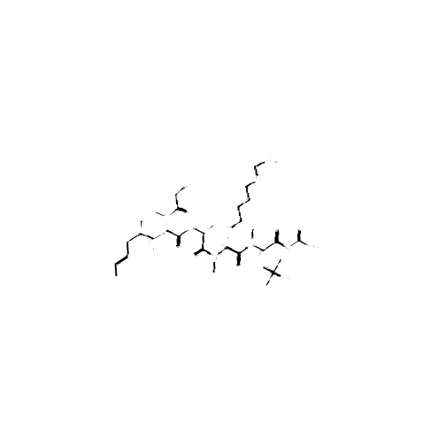 C/C=C/C[C@@H](C)[C@@H](O)[C@@H](C(=O)N[C@@H](CC)C(=O)N(C)[C@H](SCCCCNCC(C)(C)C)C(=O)N(C)[C@@H](CC(C)(C)O)C(=O)NC(=O)NC)N(C)C(=O)CC(C)C